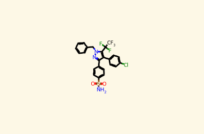 NS(=O)(=O)c1ccc(-c2nn(Cc3ccccc3)c(C(F)(F)C(F)(F)F)c2-c2ccc(Cl)cc2)cc1